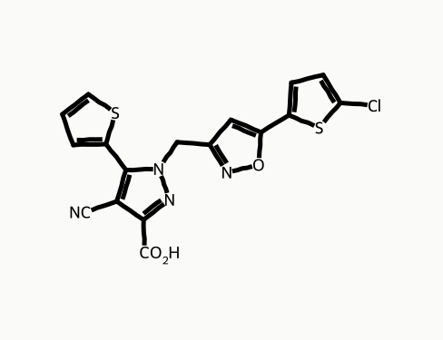 N#Cc1c(C(=O)O)nn(Cc2cc(-c3ccc(Cl)s3)on2)c1-c1cccs1